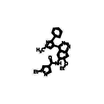 CCOc1cc2ncnc(-c3cn(C)nc3-c3ccccc3)c2cc1NC(=O)c1cnn(CC)c1